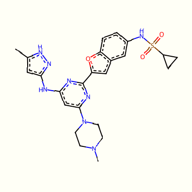 Cc1cc(Nc2cc(N3CCN(C)CC3)nc(-c3cc4cc(NS(=O)(=O)C5CC5)ccc4o3)n2)n[nH]1